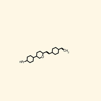 C=CC1CCC(/C=C/C2CCC(C3CCC(CCC)CC3)CO2)CC1